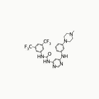 CN1CCN(c2cccc(Nc3cc(NC(=O)Nc4cc(C(F)(F)F)cc(C(F)(F)F)c4)ncn3)c2)CC1